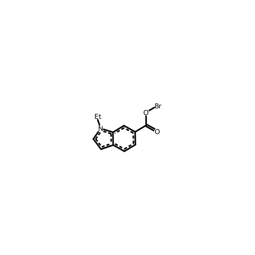 CCn1ccc2ccc(C(=O)OBr)cc21